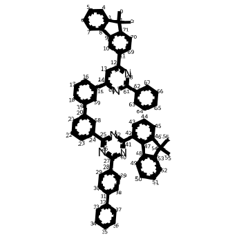 CC1(C)c2ccccc2-c2cc(-c3cc(-c4cccc(-c5cccc(-c6nc(-c7ccc(-c8ccccc8)cc7)nc(-c7cccc8c7-c7ccccc7C8(C)C)n6)c5)c4)nc(-c4ccccc4)n3)ccc21